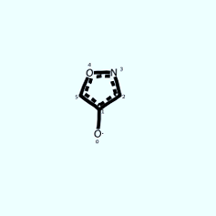 [O]c1cnoc1